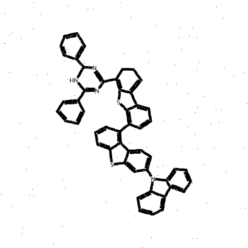 C1=c2c(sc3c(-c4cccc5sc6cc(-n7c8ccccc8c8ccccc87)ccc6c45)cccc23)=C(C2=NC(c3ccccc3)NC(c3ccccc3)=N2)CC1